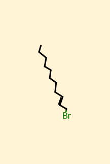 CCCCCCCC/C=C/CBr